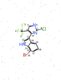 FC(F)(F)c1cnc(Cl)nc1-c1c[nH]c2c(Br)cccc12